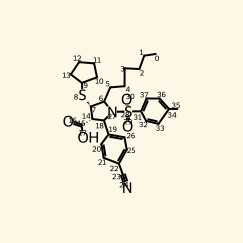 CCCCCCC1[C@@H](SC2CCCC2)[C@@H](C(=O)O)C(c2ccc(C#N)cc2)N1S(=O)(=O)c1ccc(C)cc1